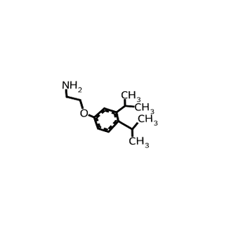 CC(C)c1ccc(OCCN)cc1C(C)C